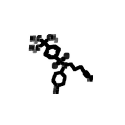 CC(C)(C)c1ccc(S(=O)(=O)N(CCCC#N)C2CCNCC2)cc1